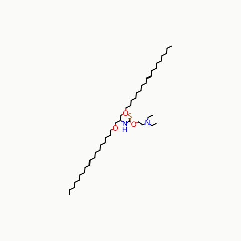 CCCCCCCCC=CCCCCCCCCOCC(COCCCCCCCCC=CCCCCCCCC)NC(=S)OCCN(CC)CC